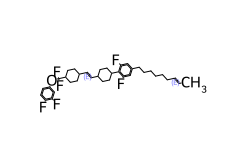 C/C=C/CCCCCCc1cc(F)c(C2CCC(/C=C/C3CCC(C(F)(F)Oc4ccc(F)c(F)c4)CC3)CC2)c(F)c1